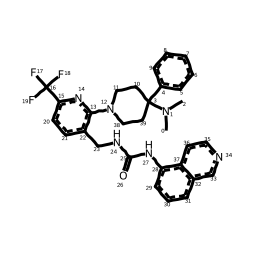 CN(C)C1(c2ccccc2)CCN(c2nc(C(F)(F)F)ccc2CNC(=O)Nc2cccc3cnccc23)CC1